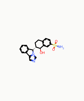 NS(=O)(=O)c1ccc2c(c1)[C@@H](O)[C@H](C1c3ccccc3-c3cncn31)CC2